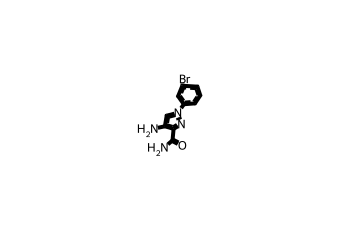 NC(=O)c1nn(-c2cccc(Br)c2)cc1N